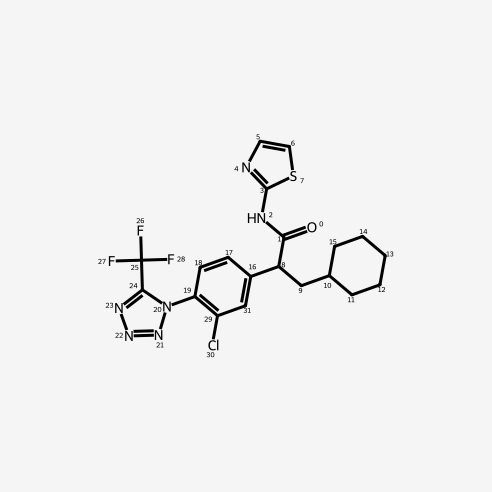 O=C(Nc1nccs1)C(CC1CCCCC1)c1ccc(-n2nnnc2C(F)(F)F)c(Cl)c1